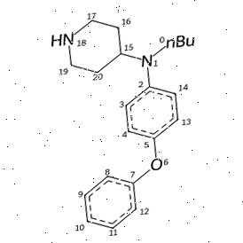 CCCCN(c1ccc(Oc2ccccc2)cc1)C1CCNCC1